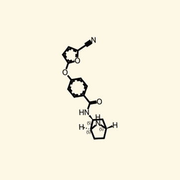 N#Cc1ccc(Oc2ccc(C(=O)N[C@H]3C[C@@H]4CC[C@@H]3N4)cc2)o1